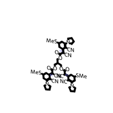 CSC1CC(N2CCCC2)=C(C#N)/C(=C(\C#N)C(=O)OCC(COC(=O)/C(C#N)=C2\CC(SC)CC(N3CCCC3)=C2C#N)COC(=O)/C(C#N)=C2\CC(SC)CC(N3CCCC3)=C2C#N)C1